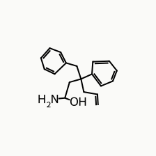 C=CCC(Cc1ccccc1)(CC(N)O)c1ccccc1